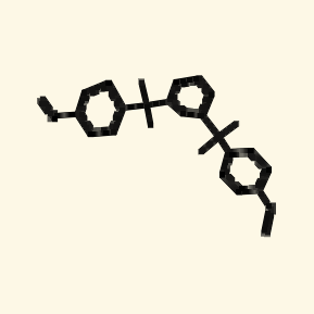 C=Nc1ccc(C(C)(C)c2cccc(C(C)(C)c3ccc(N=C)cc3)c2)cc1